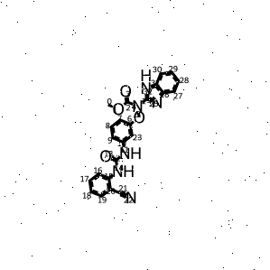 COC(=O)N(Oc1cccc(NC(=O)Nc2ccccc2C#N)c1)c1nc2ccccc2[nH]1